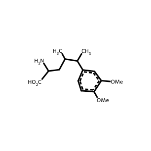 COc1ccc(C(C)C(C)CC(N)C(=O)O)cc1OC